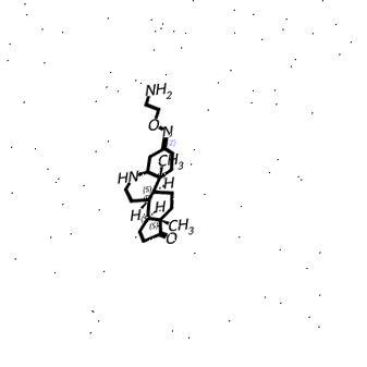 C[C@]12CC/C(=N/OCCN)CC1NCC[C@@H]1[C@@H]2CC[C@]2(C)C(=O)CC[C@@H]12